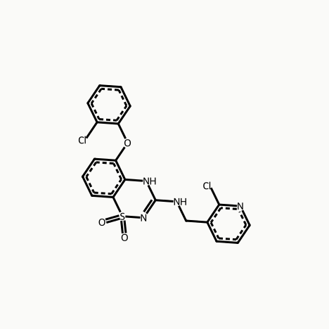 O=S1(=O)N=C(NCc2cccnc2Cl)Nc2c(Oc3ccccc3Cl)cccc21